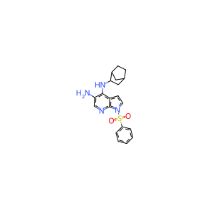 Nc1cnc2c(ccn2S(=O)(=O)c2ccccc2)c1NC1CC2CCC1C2